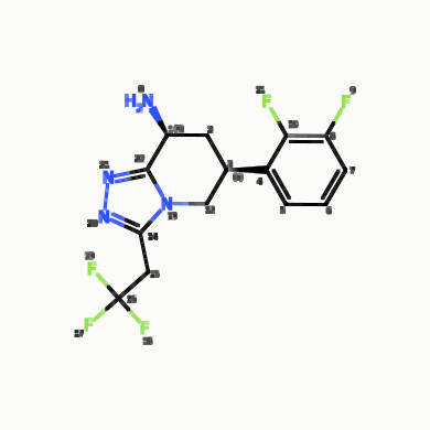 N[C@H]1C[C@@H](c2cccc(F)c2F)Cn2c(CC(F)(F)F)nnc21